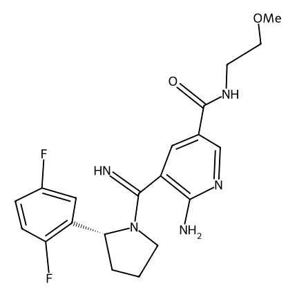 COCCNC(=O)c1cnc(N)c(C(=N)N2CCC[C@@H]2c2cc(F)ccc2F)c1